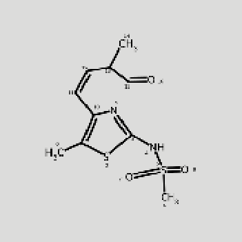 Cc1sc(NS(C)(=O)=O)nc1/C=C\C(C)C=O